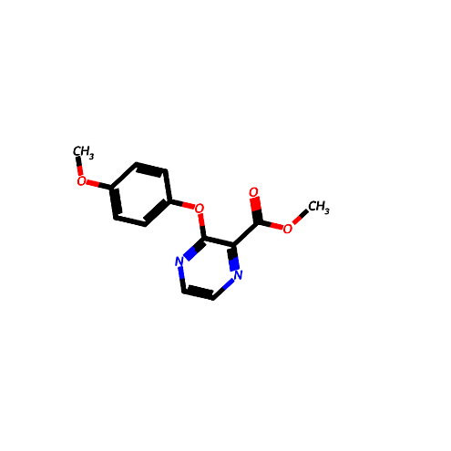 COC(=O)c1nccnc1Oc1ccc(OC)cc1